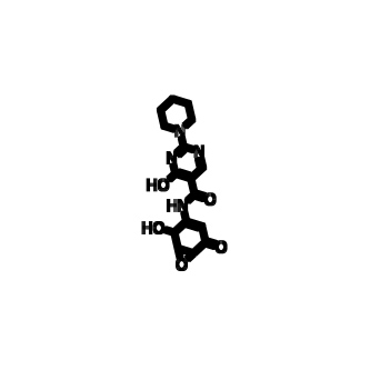 O=C(NC1=CC(=O)C2OC2C1O)c1cnc(N2CCCCC2)nc1O